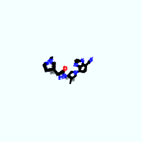 C[C@@H]1CN(c2ccc(C#N)c3nccnc23)C[C@@H]1NC(=O)C[C@H]1CCN(C)C1